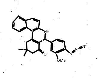 COc1cc(C2Nc3ccc4ccccc4c3C3=C2C(=O)CC(C)(C)C3)ccc1N=[N+]=[N-]